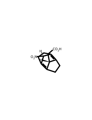 O=C(O)C[C@H]1C2=C3CCC(=C1CC2)[C@@H]3[N+](=O)[O-]